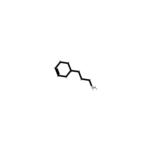 [SiH3]CCCC1CC=CCC1